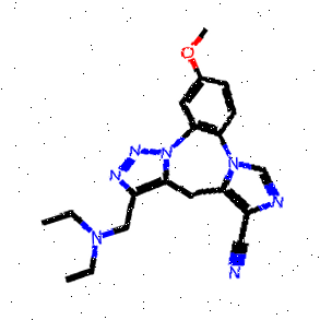 CCN(CC)Cc1nnn2c1Cc1c(C#N)ncn1-c1ccc(OC)cc1-2